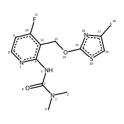 CN(C)C(=O)Nc1nccc(F)c1COc1nc(I)cs1